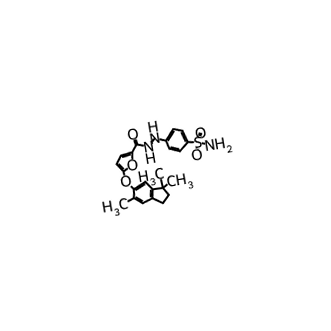 Cc1cc2c(cc1Oc1ccc(C(=O)NNc3ccc(S(N)(=O)=O)cc3)o1)C(C)(C)CC2